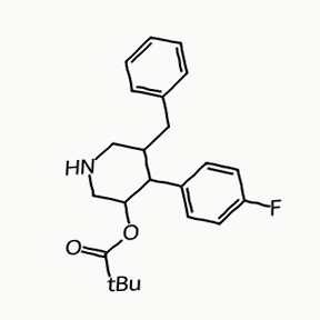 CC(C)(C)C(=O)OC1CNCC(Cc2ccccc2)C1c1ccc(F)cc1